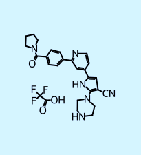 N#Cc1cc(-c2ccnc(-c3ccc(C(=O)N4CCCC4)cc3)c2)[nH]c1N1CCNCC1.O=C(O)C(F)(F)F